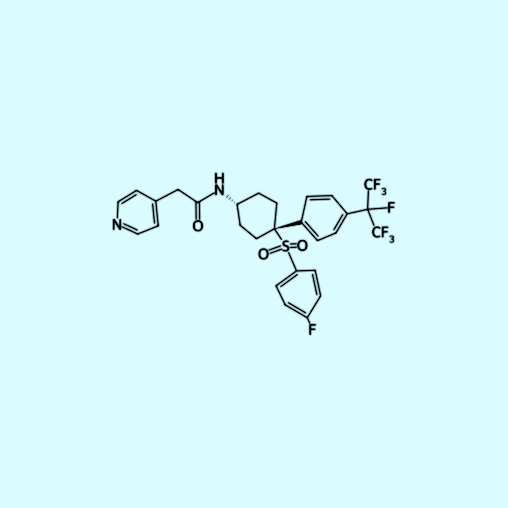 O=C(Cc1ccncc1)N[C@H]1CC[C@@](c2ccc(C(F)(C(F)(F)F)C(F)(F)F)cc2)(S(=O)(=O)c2ccc(F)cc2)CC1